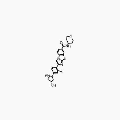 O=C(NC1CCOCC1)c1ccc2c(c1)sc1nc(-c3ccc([C@H]4C[C@H](O)CN4)cc3F)cn12